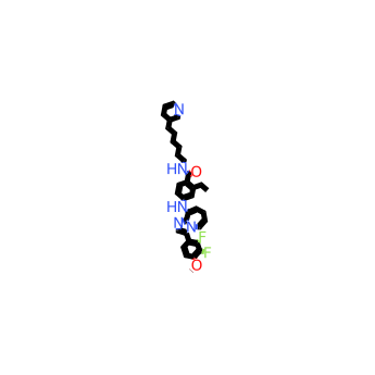 CCc1cc(NC2=CCC=Cn3c(-c4ccc(OC)c(F)c4F)cnc32)ccc1C(=O)NCCCCCCC1C=NC=CC1